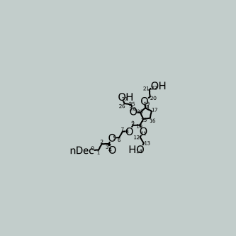 CCCCCCCCCCCCC(=O)OCCOCC(OCCO)C1CCC(OCCO)C1OCCO